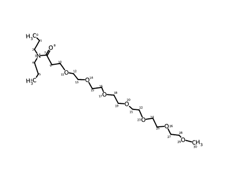 CCCN(CCC)C(=O)CCOCCOCCOCCOCCOCCOCCOC